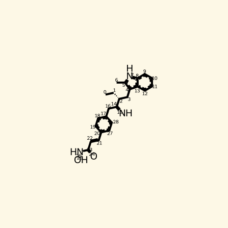 CC[C@H](Cc1c(C)[nH]c2ccccc12)C(=N)Cc1ccc(C=CC(=O)NO)cc1